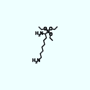 CCO[Si](OCC)(OCC)C(N)CCCCCCCN